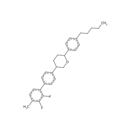 CCCCCc1ccc(C2CCC(c3ccc(-c4ccc(C)c(F)c4F)cc3)CO2)cc1